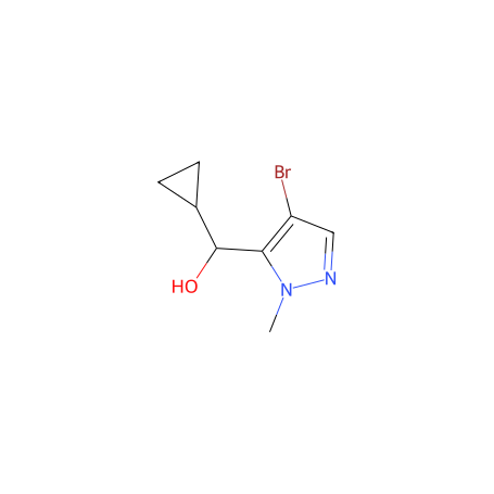 Cn1ncc(Br)c1C(O)C1CC1